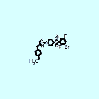 CCc1ccc(Cc2csc(N3CCC(S(=O)(=O)c4c(F)c(Br)cc(F)c4Br)CC3)n2)cc1